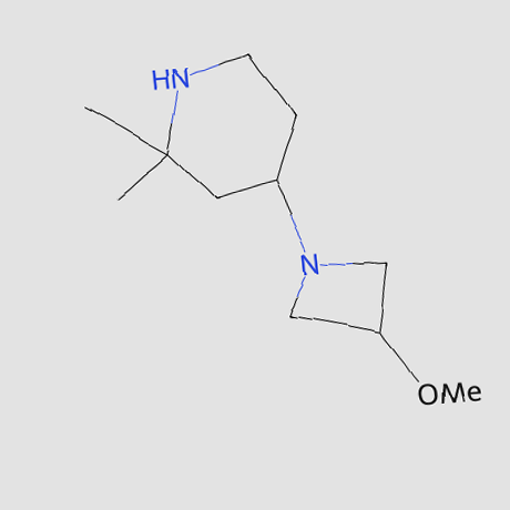 COC1CN(C2CCNC(C)(C)C2)C1